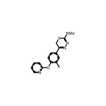 CNC1=NN=C(c2ccc(Oc3ccccn3)c(C)c2)CS1